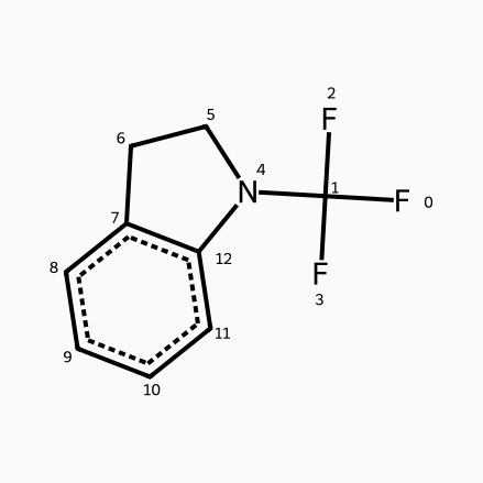 FC(F)(F)N1CCc2ccccc21